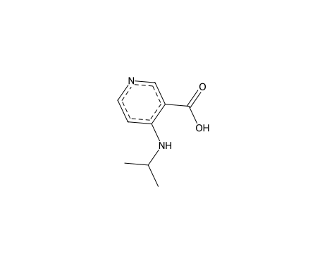 CC(C)Nc1ccncc1C(=O)O